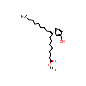 CCCCCCCC/C=C\CCCCCCCC(=O)OC.OCc1ccccc1